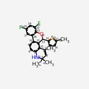 CC1=CC(C)(C)Nc2ccc3c(c21)C(c1ccc(C)s1)Oc1c(F)cc(F)cc1-3